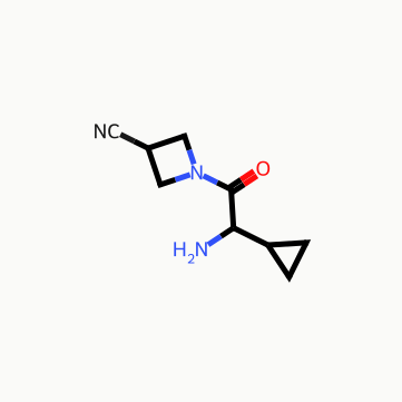 N#CC1CN(C(=O)C(N)C2CC2)C1